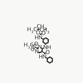 CC(C)(C)OC(=O)Nc1cccc(Nc2nc(S(C)(=O)=O)ncc2C(=O)Nc2ccccc2)c1